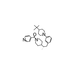 C[C@@H](Cc1cccc(N2CCC(C(C)(C)C)CC2)c1)C1CCN(C(=O)c2ccncc2)CC1